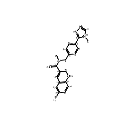 CN(Cc1ccc(-c2nncn2C)cc1)C(=O)C1=Cc2cc(F)ccc2OC1